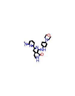 CN(C)c1cccc(-c2cc3cc[nH]c(=O)c3c(Nc3ccc(N4CCOCC4)cc3)n2)n1